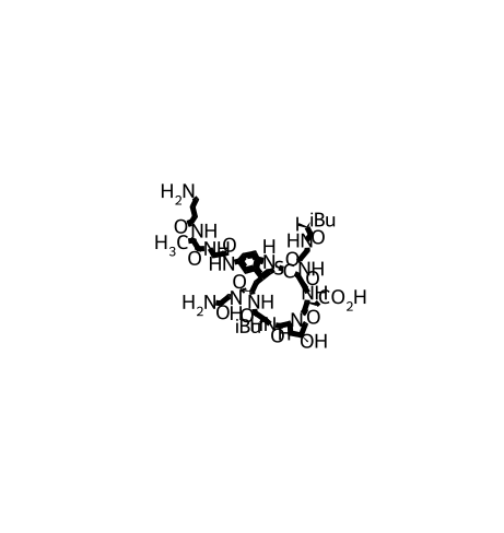 CCC(C)[C@@H]1NC(=O)[C@@H]2C[C@@H](O)CN2C(=O)[C@H](CC(=O)O)NC(=O)[C@@H](NC(=O)CNC(=O)[C@@H](I)[C@@H](C)CC)CSc2[nH]c3ccc(NC(=O)CNC(=O)C(C)NC(=O)CCCN)cc3c2C[C@@H](C(=O)NCC(N)=O)NC1=O